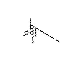 CCCCCCCCCCCCCCCCCCC(=Nc1cc(CCCCC)cc(CCCCC)c1)C(CCCC)=Nc1cc(CCCCC)cc(CCCCC)c1.[Ni]